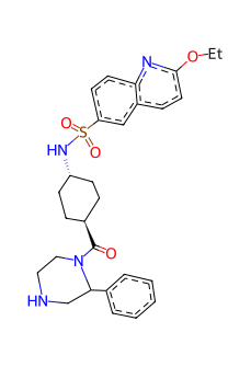 CCOc1ccc2cc(S(=O)(=O)N[C@H]3CC[C@H](C(=O)N4CCNCC4c4ccccc4)CC3)ccc2n1